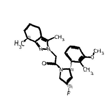 COc1cccc([C@@H]2C[C@H](F)CN2C(=O)Cn2nc3c(c2C)CCC[C@@H]3C)c1C